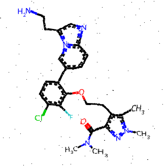 Cc1c(CCOc2c(-c3ccc4ncc(CCN)n4c3)ccc(Cl)c2F)c(C(=O)N(C)C)nn1C